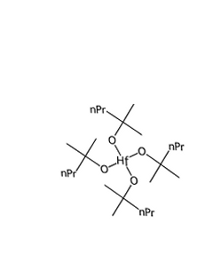 CCCC(C)(C)[O][Hf]([O]C(C)(C)CCC)([O]C(C)(C)CCC)[O]C(C)(C)CCC